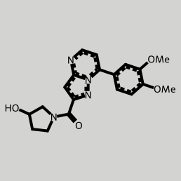 COc1ccc(-c2ccnc3cc(C(=O)N4CCC(O)C4)nn23)cc1OC